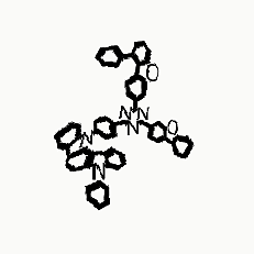 c1ccc(-c2cccc3oc4cc(-c5nc(-c6ccc(-n7c8ccccc8c8ccc9c(c%10ccccc%10n9-c9ccccc9)c87)cc6)nc(-c6ccc7c(c6)oc6ccccc67)n5)ccc4c23)cc1